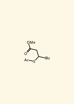 CCC(C)C(CC(=O)OC)SC(C)=O